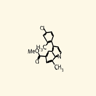 COC(=O)c1cc(C)c2nccc(-c3ccc(Cl)cc3C)c2c1